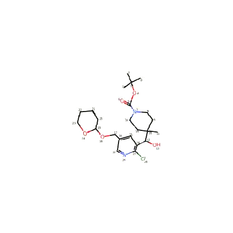 CC(C)(C)OC(=O)N1CCC(C)(C(O)c2cc(COC3CCCCO3)cnc2Cl)CC1